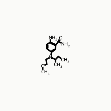 CCC(C)N(CCOC)c1ccc(N)c(C(N)=O)c1